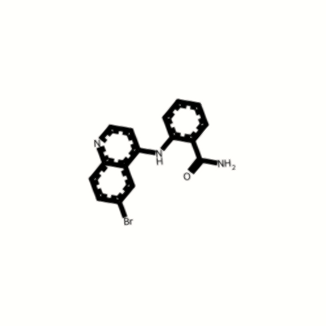 NC(=O)c1ccccc1Nc1ccnc2ccc(Br)cc12